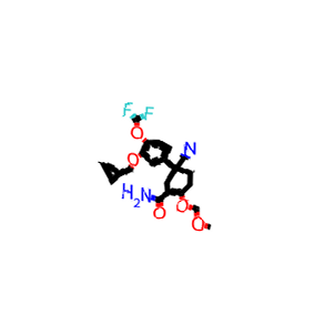 COCOC1=C(C(N)=O)CC(C#N)(c2ccc(OC(F)F)c(OCC3CC3)c2)CC1